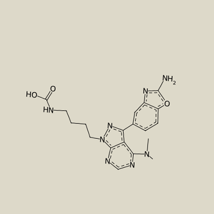 CN(C)c1ncnc2c1c(-c1ccc3oc(N)nc3c1)nn2CCCCNC(=O)O